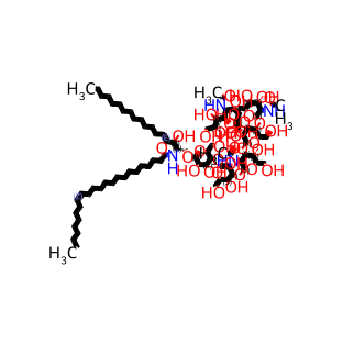 CCCCCCCC/C=C\CCCCCCCCCCCCCC(=O)N[C@@H](CO[C@@H]1OC(CO)[C@@H](O[C@@H]2OC(CO)[C@H](O)[C@H](O[C@@H]3OC(CO)[C@@H](O)[C@H](O[C@@H]4OC(CO)[C@H](O[C@@H]5OC(CO)[C@H](O)[C@H](O)C5NC(C)=O)[C@H](O[C@]5(C(=O)O)CC(O)[C@@H](NC(C)=O)C([C@H](O)[C@H](O)CO)O5)C4O)C3NC(C)=O)C2O)[C@H](O)C1O)[C@H](O)/C=C/CCCCCCCCCCCCC